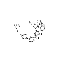 CCCCCCN1CCN(c2cccc(S(=O)(=O)NC(=O)c3cccnc3N3CCC(C)C3(C)C)n2)CC1